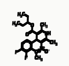 CCC(CC)OC(=O)C1=C(C)NC(C)=C([N+](=O)[O-])C1c1ccc(F)c(F)c1OC